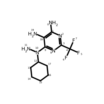 Nc1nc(C(F)(F)F)nc(N(N)C2CCCCC2)c1N